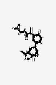 Cc1n[nH]c2ncc(-c3ccc(Cl)c(NC(=O)C=CN(C)C)c3)cc12